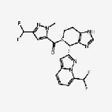 Cn1nc(C(F)F)cc1C(=O)N1CCc2[nH]cnc2[C@@H]1c1cc2cccc(C(F)F)n2n1